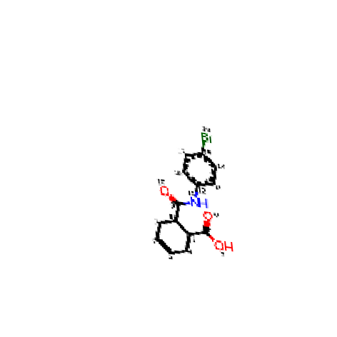 O=C(O)C1CC=CCC1C(=O)Nc1ccc(Br)cc1